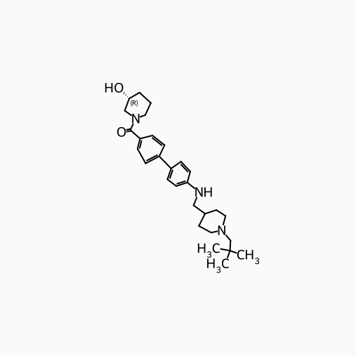 CC(C)(C)CN1CCC(CNc2ccc(-c3ccc(C(=O)N4CCC[C@@H](O)C4)cc3)cc2)CC1